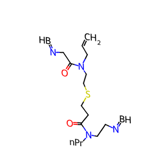 B=NCCN(CCC)C(=O)CCSCCN(CC=C)C(=O)CN=B